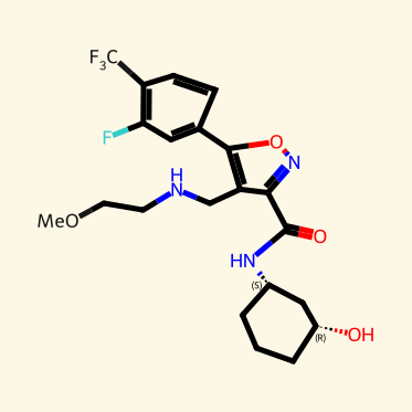 COCCNCc1c(C(=O)N[C@H]2CCC[C@@H](O)C2)noc1-c1ccc(C(F)(F)F)c(F)c1